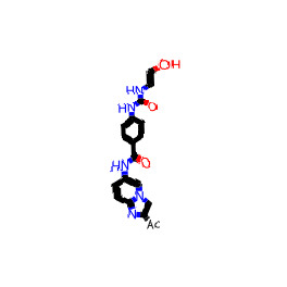 CC(=O)c1cn2cc(NC(=O)c3ccc(NC(=O)NCCO)cc3)ccc2n1